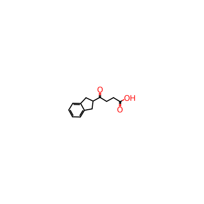 O=C(O)CCC(=O)C1Cc2ccccc2C1